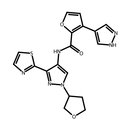 O=C(Nc1cn(C2CCOC2)nc1-c1nccs1)c1occc1-c1cn[nH]c1